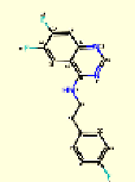 Fc1ccc(CCNc2ncnc3cc(F)c(F)cc23)cc1